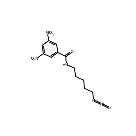 [N-]=[N+]=NCCCCCNC(=O)c1cc([N+](=O)[O-])cc([N+](=O)[O-])c1